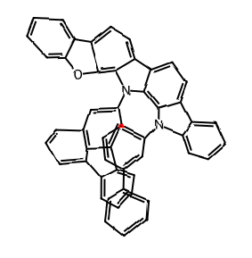 c1ccc(-c2cccc(-n3c4ccccc4c4ccc5c6ccc7c8ccccc8oc7c6n(-c6cc7c8c(cccc8c6)-c6ccccc6-7)c5c43)c2)cc1